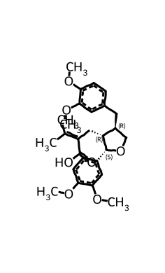 COc1ccc(C[C@H]2CO[C@H](c3ccc(OC)c(OC)c3)[C@@H]2CC(C(=O)O)=C(C)C)cc1OC